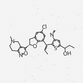 C=Nc1cc(C(O)CC)sc1/C(=C\C)c1cc(Cl)cc2c1O[C@@H](c1onc3c1CN(C)CC3)C2